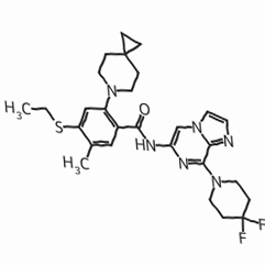 CCSc1cc(N2CCC3(CC2)CC3)c(C(=O)Nc2cn3ccnc3c(N3CCC(F)(F)CC3)n2)cc1C